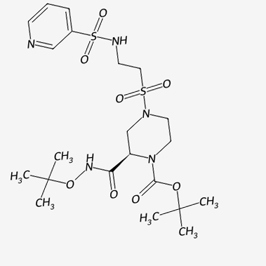 CC(C)(C)ONC(=O)[C@H]1CN(S(=O)(=O)CCNS(=O)(=O)c2cccnc2)CCN1C(=O)OC(C)(C)C